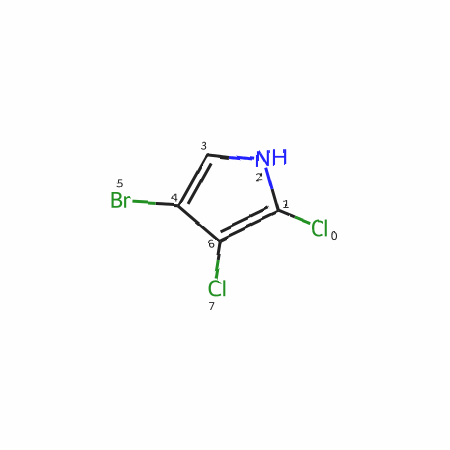 Clc1[nH]cc(Br)c1Cl